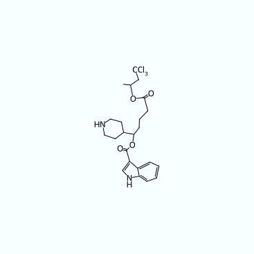 CC(CC(Cl)(Cl)Cl)OC(=O)CCCC(OC(=O)c1c[nH]c2ccccc12)C1CCNCC1